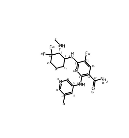 CN[C@@H]1C(Nc2nc(Nc3cncc(C)c3)c(C(N)=O)cc2F)CCCC1(F)F